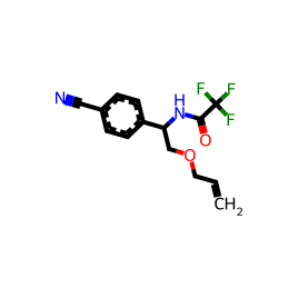 C=CCOCC(NC(=O)C(F)(F)F)c1ccc(C#N)cc1